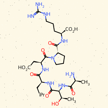 CC(C)C[C@H](NC(=O)[C@@H](NC(=O)[C@H](C)N)[C@@H](C)O)C(=O)N[C@@H](CC(=O)O)C(=O)N1CCC[C@H]1C(=O)N[C@@H](CCCNC(=N)N)C(=O)O